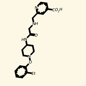 CCc1ccccc1ON1CCC(NC(=O)CNCc2cc(C(=O)O)ccn2)CC1